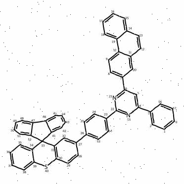 c1ccc(-c2cc(-c3ccc4c(ccc5ccccc54)c3)nc(-c3ccc(-c4ccc5c(c4)C4(c6ccccc6S5)c5ccccc5-c5ccccc54)cc3)n2)cc1